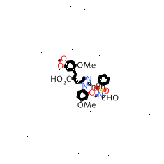 CCCCc1ncc(/C=C(\Cc2cc3c(cc2OC)OCO3)C(=O)O)n1-c1ccc(OC)cc1OCN(C=O)S(=O)(=O)c1ccccc1